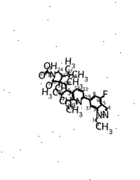 CCn1ncc2c(F)cc(-c3ccc(C(CC4(C)C(=O)N(C(=O)O)CC4C(C)(C)C)C(C)C)c(OC)n3)cc21